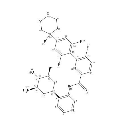 C[C@H]1C[C@@H](c2ccncc2NC(=O)c2ccc(F)c(-c3c(F)cc(C4(F)CCOCC4)cc3F)n2)C[C@@H](N)[C@@H]1O